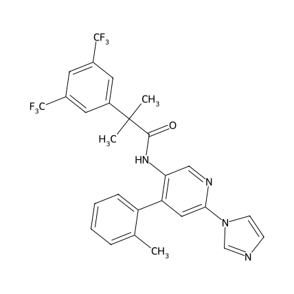 Cc1ccccc1-c1cc(-n2ccnc2)ncc1NC(=O)C(C)(C)c1cc(C(F)(F)F)cc(C(F)(F)F)c1